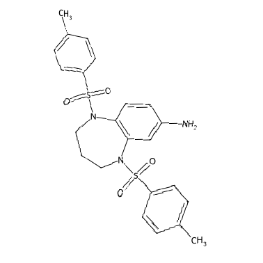 Cc1ccc(S(=O)(=O)N2CCCN(S(=O)(=O)c3ccc(C)cc3)c3cc(N)ccc32)cc1